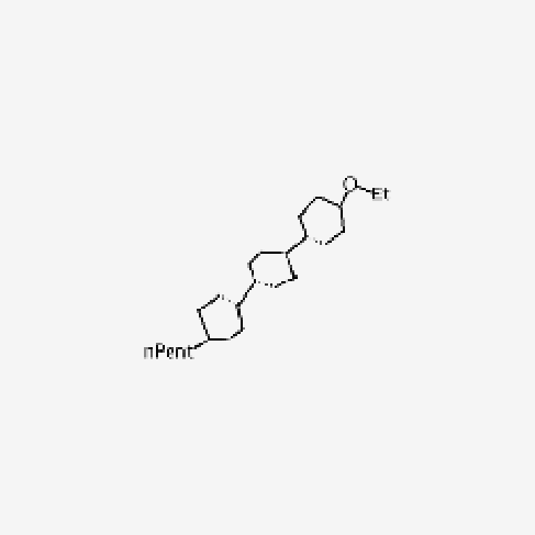 CCCCC[C@H]1CC[C@H]([C@H]2CC[C@H]([C@H]3CC[C@H](OCC)CC3)CC2)CC1